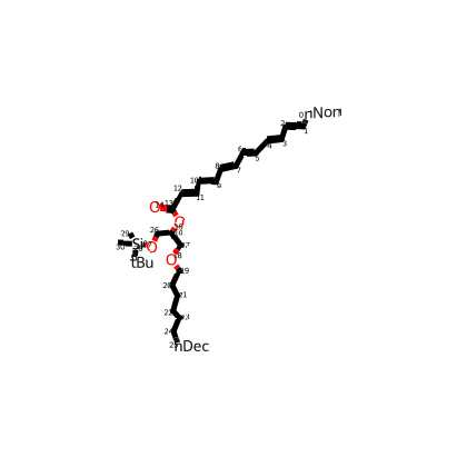 CCCCCCCCCC=CC=CC=CC=CC=CC=CC(=O)OC(COCCCCCCCCCCCCCCCC)CO[Si](C)(C)C(C)(C)C